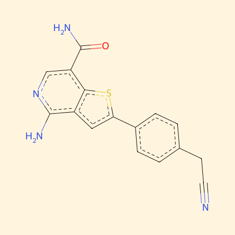 N#CCc1ccc(-c2cc3c(N)ncc(C(N)=O)c3s2)cc1